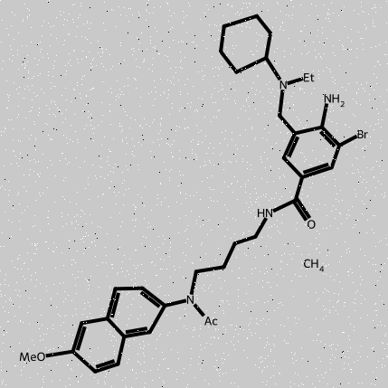 C.CCN(Cc1cc(C(=O)NCCCCN(C(C)=O)c2ccc3cc(OC)ccc3c2)cc(Br)c1N)C1CCCCC1